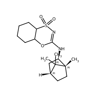 CC1(C)[C@@H]2CC[C@@]1(C)[C@H](NC1=NS(=O)(=O)C3CCCCC3O1)C2